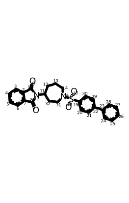 O=C1c2ccccc2C(=O)N1C1CCCN(S(=O)(=O)c2ccc(-c3ccccc3)cc2)CC1